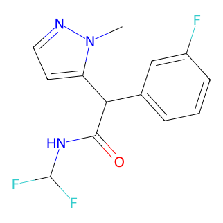 Cn1nccc1C(C(=O)NC(F)F)c1cccc(F)c1